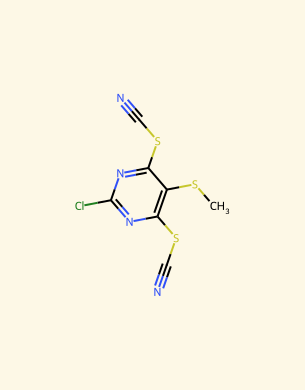 CSc1c(SC#N)nc(Cl)nc1SC#N